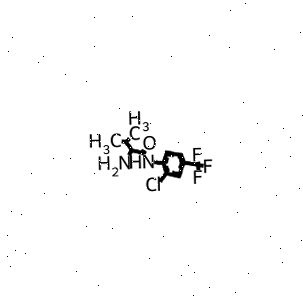 CC(C)C(N)C(=O)Nc1ccc(C(F)(F)F)cc1Cl